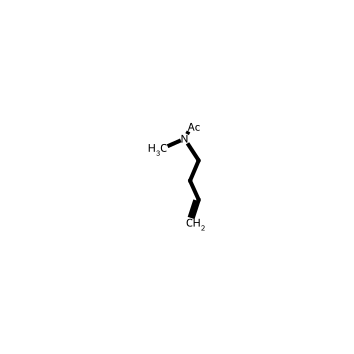 C=CCCN(C)C(C)=O